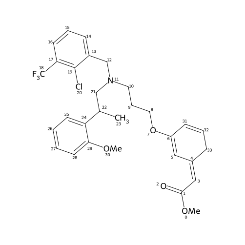 COC(=O)C=C1C=C(OCCCN(Cc2cccc(C(F)(F)F)c2Cl)CC(C)c2ccccc2OC)C=CC1